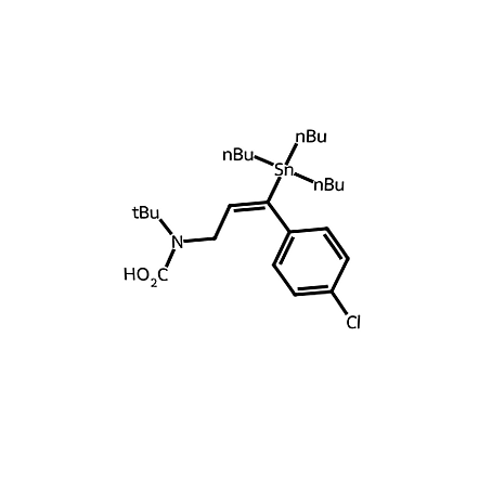 CCC[CH2][Sn]([CH2]CCC)([CH2]CCC)/[C](=C/CN(C(=O)O)C(C)(C)C)c1ccc(Cl)cc1